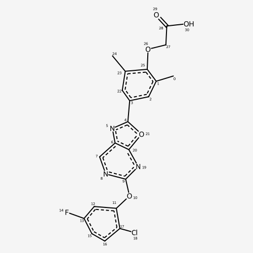 Cc1cc(-c2nc3cnc(Oc4cc(F)ccc4Cl)nc3o2)cc(C)c1OCC(=O)O